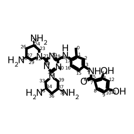 Cc1cc(NC(=O)c2ccc(O)cc2O)ccc1Nc1nc(N2C[C@H](N)C[C@H](N)C2)nc(N2C[C@H](N)C[C@H](N)C2)n1